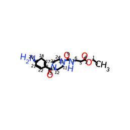 CCOC(=O)CCNC(=O)N1CCN(C(=O)C2=CCC(N)C=C2)CC1